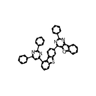 c1ccc(-c2cc(-c3cccc4sc5cc(-c6nc(-c7ccccc7)nc7c6oc6ccccc67)ccc5c34)nc(-c3ccccc3)n2)cc1